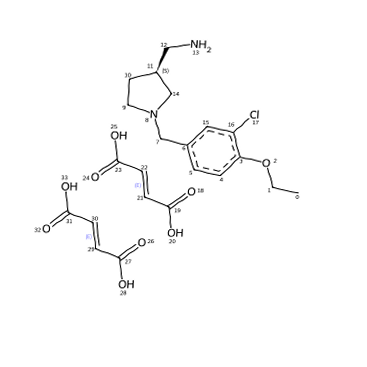 CCOc1ccc(CN2CC[C@@H](CN)C2)cc1Cl.O=C(O)/C=C/C(=O)O.O=C(O)/C=C/C(=O)O